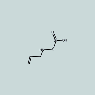 C=CCNO[Si](=O)O